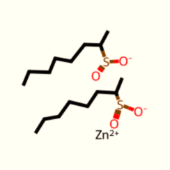 CCCCCCC(C)S(=O)[O-].CCCCCCC(C)S(=O)[O-].[Zn+2]